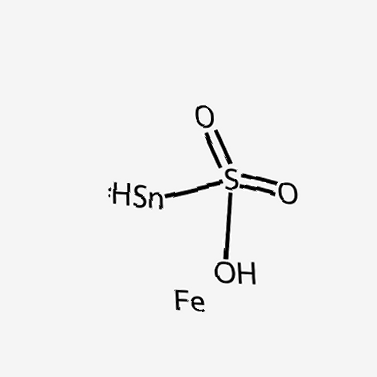 O=[S](=O)(O)[SnH].[Fe]